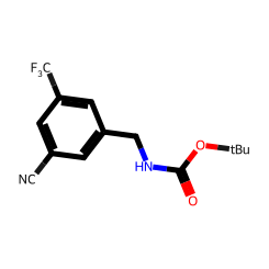 CC(C)(C)OC(=O)NCc1cc(C#N)cc(C(F)(F)F)c1